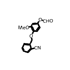 COc1cc(OC=O)ccc1OCc1ccccc1C#N